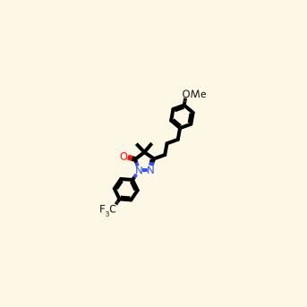 COc1ccc(CCCC2=NN(c3ccc(C(F)(F)F)cc3)C(=O)C2(C)C)cc1